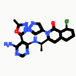 Cc1nnc(-c2c(N)ncnc2N[C@@H](C)c2cc3cccc(Cl)c3c(=O)n2-c2cn[nH]c2)o1